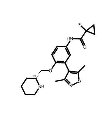 Cc1noc(C)c1-c1cc(NC(=O)C2(F)CC2)ccc1OC[C@H]1CCCCN1